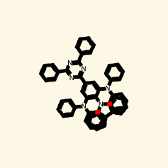 c1ccc(-c2nc(-c3ccccc3)nc(-c3cc(N(c4ccccc4)c4ccccc4)c(-n4c5ccccc5c5ccccc54)c(N(c4ccccc4)c4ccccc4)c3)n2)cc1